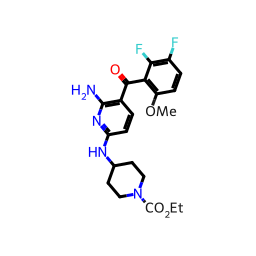 CCOC(=O)N1CCC(Nc2ccc(C(=O)c3c(OC)ccc(F)c3F)c(N)n2)CC1